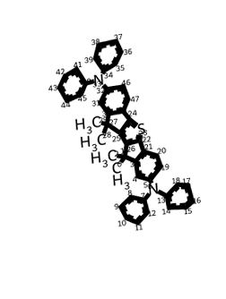 CC1(C)c2cc(N(c3ccccc3)c3ccccc3)ccc2-c2sc3c(c21)C(C)(C)c1cc(N(c2ccccc2)c2ccccc2)ccc1-3